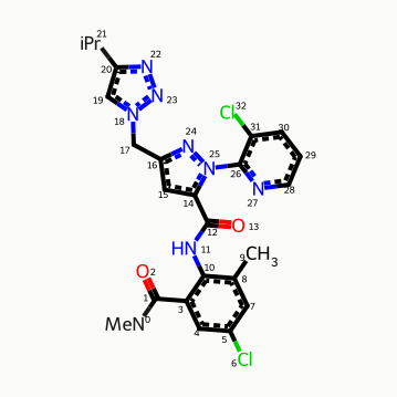 CNC(=O)c1cc(Cl)cc(C)c1NC(=O)c1cc(Cn2cc(C(C)C)nn2)nn1-c1ncccc1Cl